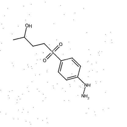 CC(O)CCS(=O)(=O)c1ccc(NN)cc1